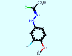 CCOC(=O)C(Cl)=NNc1ccc(OCC)c(F)c1